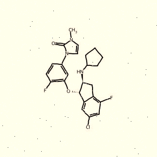 Cn1ccn(-c2ccc(F)c(O[C@H]3c4cc(Cl)cc(F)c4C[C@@H]3NC3CCCC3)c2)c1=O